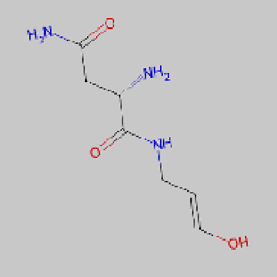 NC(=O)C[C@H](N)C(=O)NCC=CO